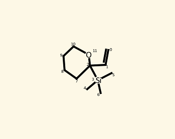 C=CC1([Si](C)(C)C)CCCCO1